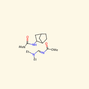 CCN(C=NC(=O)OC)CC.CNC(=O)NC1CC2CCC1C2